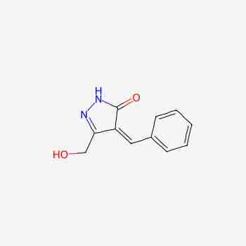 O=C1NN=C(CO)C1=Cc1ccccc1